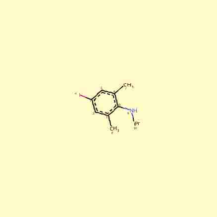 Cc1cc(I)cc(C)c1NC(C)C